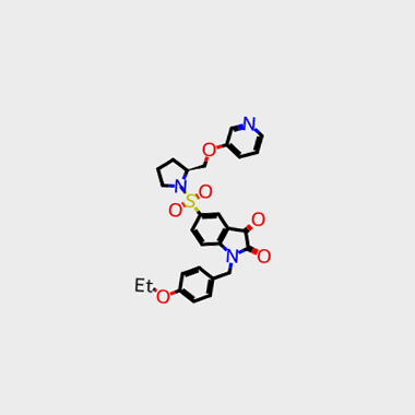 CCOc1ccc(CN2C(=O)C(=O)c3cc(S(=O)(=O)N4CCC[C@H]4COc4cccnc4)ccc32)cc1